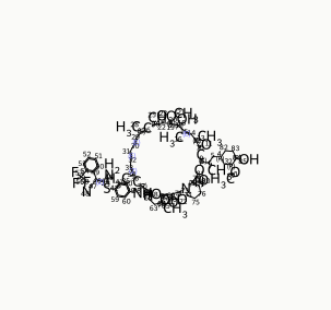 CO[C@@H]1C[C@@H](CC(C)[C@@H]2CC(=O)[C@H](C)/C=C(\C)[C@@H](O)[C@@H](OC)C(=O)[C@H](C)C[C@H](C)/C=C/C=C/C=C(/C)C[C@@H](Nc3ccc(S/C(N)=C(\C#N)c4ccccc4C(F)(F)F)cc3)[C@@H]3CC[C@@H](C)[C@@](O)(O3)C(=O)C(=O)N3CCCC[C@H]3C(=O)O2)CC[C@H]1O